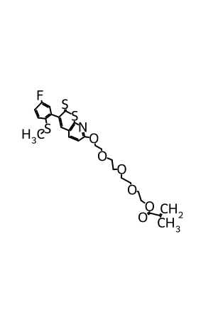 C=C(C)C(=O)OCCOCCOCCOCCOc1ccc2cc(-c3cc(F)ccc3SC)c(=S)sc2n1